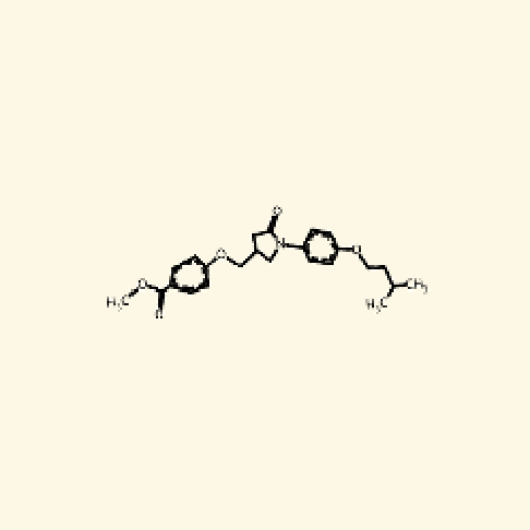 COC(=O)c1ccc(OCC2CC(=O)N(c3ccc(OCCC(C)C)cc3)C2)cc1